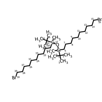 CC(C)(C)[Si](C)(CCCCCCCCCCBr)O[Si](C)(CCCCCCCCCCBr)C(C)(C)C